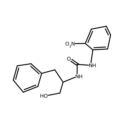 O=C(Nc1ccccc1[N+](=O)[O-])NC(CO)Cc1ccccc1